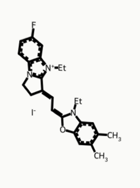 CCN1C(=CC=C2CCn3c2[n+](CC)c2cc(F)ccc23)Oc2cc(C)c(C)cc21.[I-]